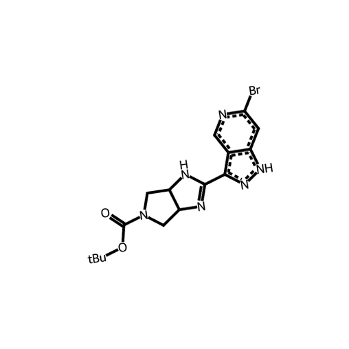 CC(C)(C)OC(=O)N1CC2N=C(c3n[nH]c4cc(Br)ncc34)NC2C1